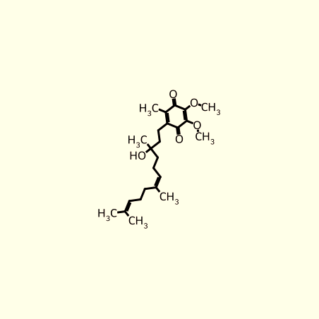 COC1=C(OC)C(=O)C(CCC(C)(O)CCC=C(C)CCC=C(C)C)=C(C)C1=O